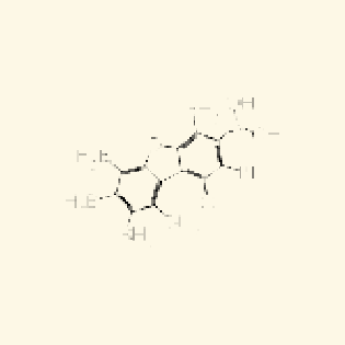 Bc1c(B)c(B)c2c(oc3c(B)c(B(O)O)c(B)c(O)c32)c1B